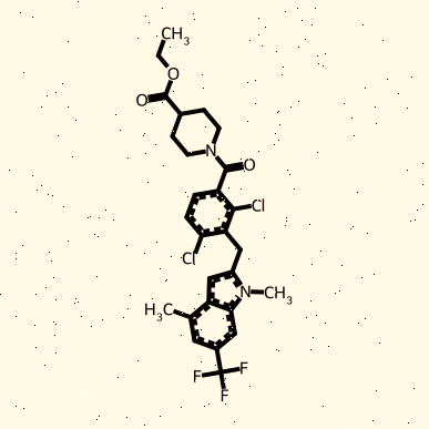 CCOC(=O)C1CCN(C(=O)c2ccc(Cl)c(Cc3cc4c(C)cc(C(F)(F)F)cc4n3C)c2Cl)CC1